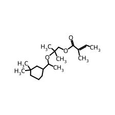 C/C=C(\C)C(=O)OCC(C)(C)OC(C)C1CCCC(C)(C)C1